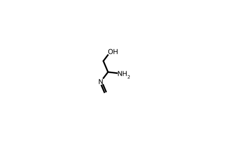 C=NC(N)CO